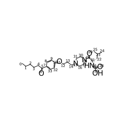 CCCCCC(=O)c1ccc(OCCCN2CCN(C(=O)[C@H](CC(C)C)NC(=O)O)CC2)cc1